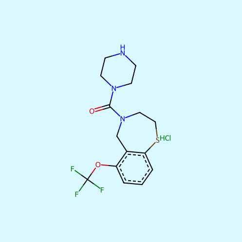 Cl.O=C(N1CCNCC1)N1CCSc2cccc(OC(F)(F)F)c2C1